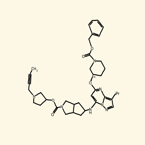 CC#CCN1CCC(OC(=O)N2CC3CC(Nc4cc(O[C@@H]5CCCN(C(=O)OCc6ccccc6)C5)nc5c(C(C)C)cnn45)CC3C2)C1